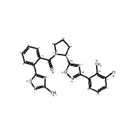 Cc1noc(-c2ccccc2C(=O)N2CCC[C@H]2c2nc(-c3cccc(Cl)c3C)no2)n1